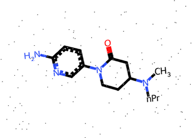 CCCN(C)C1CCN(c2ccc(N)nc2)C(=O)C1